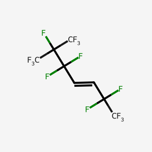 FC(F)(F)C(F)(F)C=CC(F)(F)C(F)(C(F)(F)F)C(F)(F)F